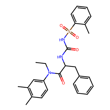 CCN(C(=O)C(Cc1ccccc1)NC(=O)NS(=O)(=O)c1ccccc1C)c1ccc(C)c(C)c1